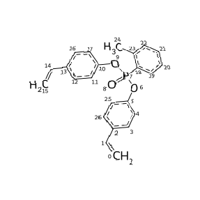 C=Cc1ccc(OP(=O)(Oc2ccc(C=C)cc2)c2ccccc2C)cc1